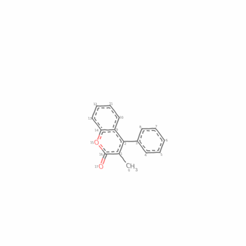 Cc1c(-c2ccccc2)c2ccccc2oc1=O